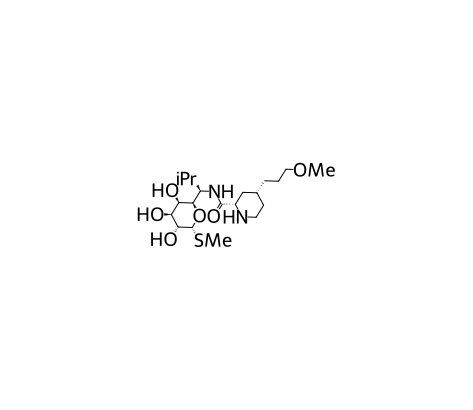 COCCC[C@@H]1CCN[C@H](C(=O)N[C@H](C(C)C)[C@H]2O[C@H](SC)[C@H](O)[C@@H](O)[C@H]2O)C1